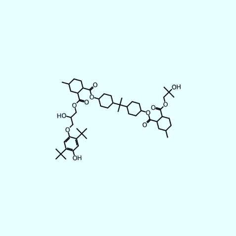 CC1CCC(C(=O)OC2CCC(C(C)(C)C3CCC(OC(=O)C4CC(C)CCC4C(=O)OCC(C)(C)O)CC3)CC2)C(C(=O)OCC(O)COc2cc(C(C)(C)C)c(O)cc2C(C)(C)C)C1